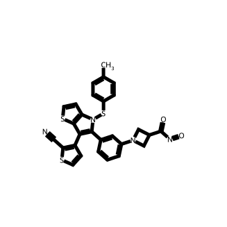 Cc1ccc(Sn2c(-c3cccc(N4CC(C(=O)N=O)C4)c3)c(-c3ccsc3C#N)c3sccc32)cc1